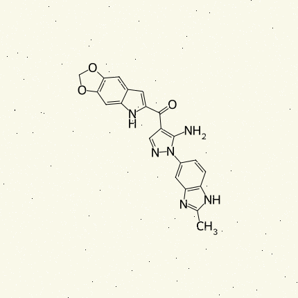 Cc1nc2cc(-n3ncc(C(=O)c4cc5cc6c(cc5[nH]4)OCO6)c3N)ccc2[nH]1